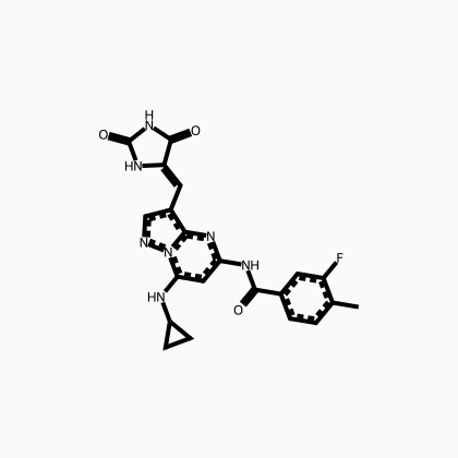 Cc1ccc(C(=O)Nc2cc(NC3CC3)n3ncc(/C=C4\NC(=O)NC4=O)c3n2)cc1F